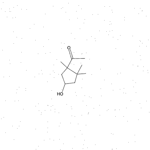 CC(=O)C1(C)CC(O)CC1(C)C